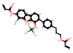 C=CC(=O)OCCCc1ccc(-c2ccc3c(oc4c(F)c(OC(=O)C=C)ccc43)c2OC(F)(F)F)cc1